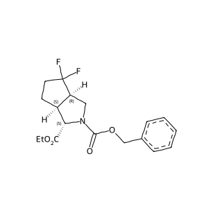 CCOC(=O)[C@@H]1[C@H]2CCC(F)(F)[C@H]2CN1C(=O)OCc1ccccc1